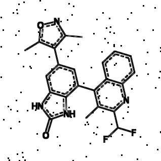 Cc1noc(C)c1-c1cc(-c2c(C)c(C(F)F)nc3ccccc23)c2[nH]c(=O)[nH]c2c1